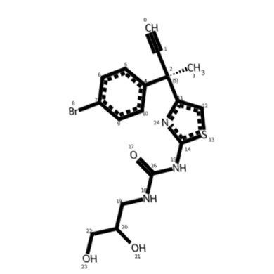 C#C[C@](C)(c1ccc(Br)cc1)c1csc(NC(=O)NCC(O)CO)n1